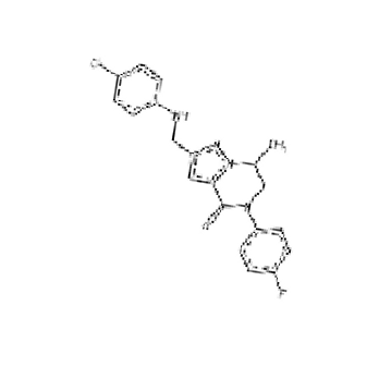 CC1CN(c2ccc(F)cc2)C(=O)c2cc(CNc3ccc(Cl)cc3)nn21